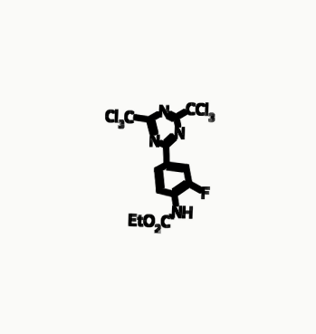 CCOC(=O)Nc1ccc(-c2nc(C(Cl)(Cl)Cl)nc(C(Cl)(Cl)Cl)n2)cc1F